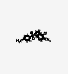 Cc1ccc(S(=O)(=O)n2ccc3c(Cl)c(C)cnc32)cc1